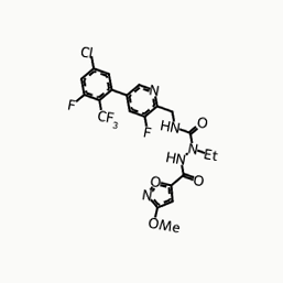 CCN(NC(=O)c1cc(OC)no1)C(=O)NCc1ncc(-c2cc(Cl)cc(F)c2C(F)(F)F)cc1F